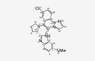 CSc1ccc2nc([C@@H]3CCCN3C(=O)c3cc(Cl)ccc3-n3nccn3)[nH]c2c1